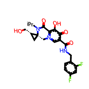 CC(C)N1C(=O)c2c(O)c(=O)c(C(=O)NCc3ccc(F)cc3F)cn2C[C@@]12C[C@@H]2CO